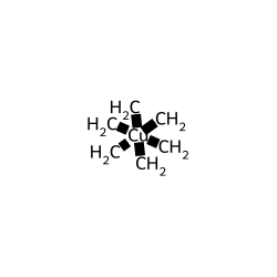 [CH2]=[Cu](=[CH2])(=[CH2])(=[CH2])(=[CH2])=[CH2]